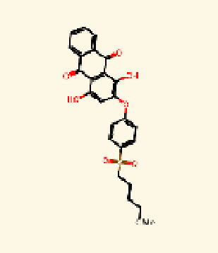 COCCCCS(=O)(=O)c1ccc(Oc2cc(O)c3c(c2O)C(=O)c2ccccc2C3=O)cc1